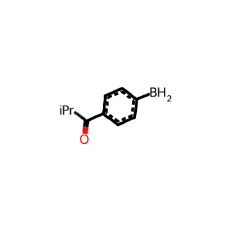 Bc1ccc(C(=O)C(C)C)cc1